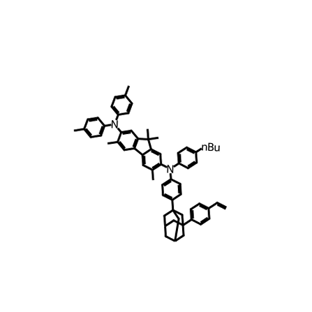 C=Cc1ccc(C23CC4CC(C2)CC(c2ccc(N(c5ccc(CCCC)cc5)c5cc6c(cc5C)-c5cc(C)c(N(c7ccc(C)cc7)c7ccc(C)cc7)cc5C6(C)C)cc2)(C4)C3)cc1